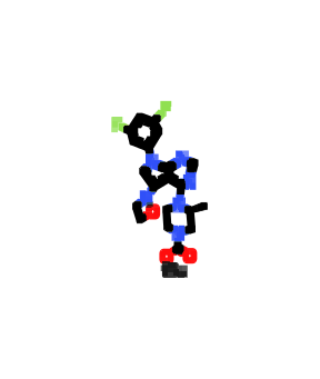 C[C@H]1CN(C(=O)OC(C)(C)C)CCN1c1ncnc2c1c(N1CCO1)cn2-c1cc(F)cc(F)c1